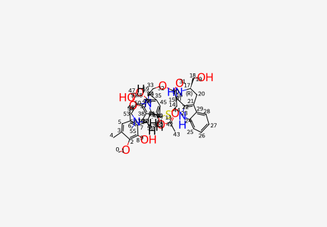 COc1c(C)cc2c(c1O)[C@H]1[C@@H]3[C@@H]4SC[C@]5(N[C@@H](CO)Cc6c5[nH]c5ccccc65)C(=O)OC[C@@H](c5c6c(c(C)c(OC(C)=O)c54)OCO6)N3C(O)(C2)CN1C